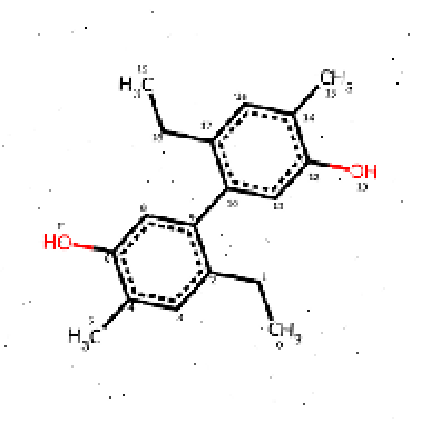 CCc1cc(C)c(O)cc1-c1cc(O)c(C)cc1CC